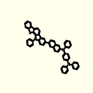 c1ccc(N(c2ccccc2)c2ccc(N(c3ccccc3)c3ccc4cc(-c5ccc6c(c5)c5ccc7c8ccccc8sc7c5n6-c5ccccc5)ccc4c3)cc2)cc1